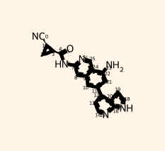 N#C[C@H]1C[C@@H]1C(=O)Nc1cc2cc(-c3ccnc4[nH]ccc34)cc(N)c2cn1